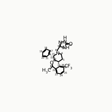 C[C@@H](O[C@H]1CCCN(Cc2n[nH]c(=O)[nH]2)[C@H]1c1ccccc1)c1cccc(C(F)(F)F)c1